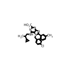 Cc1cccc(-c2nc3nc(C(=O)O)nc(NCC(C)C4CC4)c3n2Cc2ccc(Cl)cc2)c1